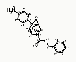 COCC12CN(C(=O)OCc3ccccc3)C=CC1(c1ccc(N)cc1)C2